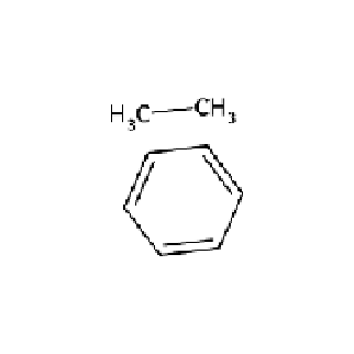 CC.c1ccccc1